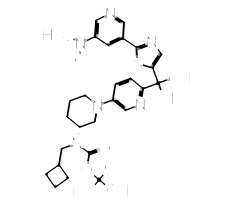 CN(C)c1cncc(-c2ncc(C(C)(O)c3ccc(N4CCC[C@@H](N(CC5CCC5)C(=O)OC(C)(C)C)C4)cn3)s2)c1